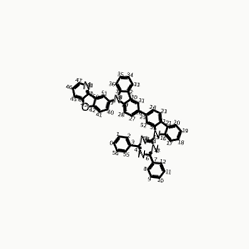 c1ccc(-c2nc(-c3ccccc3)nc(-n3c4ccccc4c4ccc(-c5ccc6c(c5)c5ccccc5n6-c5ccc6oc7cccnc7c6c5)cc43)n2)cc1